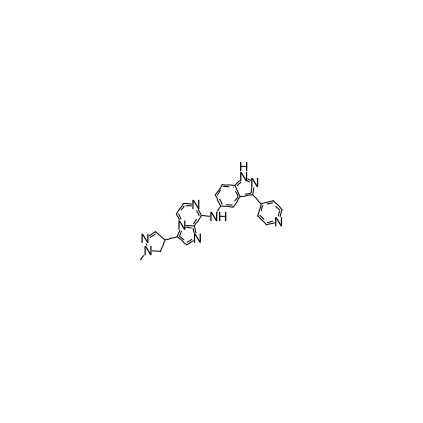 CN1CC(c2cnc3c(Nc4ccc5[nH]nc(-c6ccncc6)c5c4)nccn23)C=N1